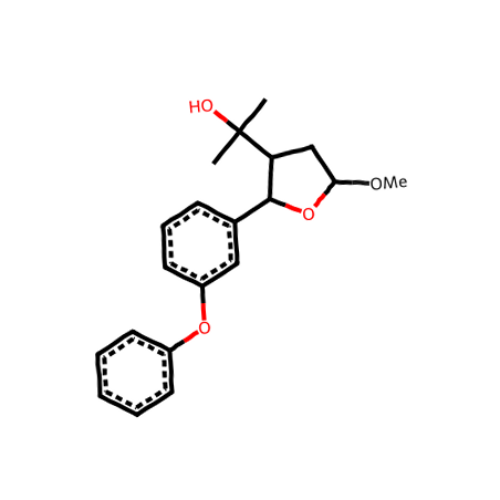 COC1CC(C(C)(C)O)C(c2cccc(Oc3ccccc3)c2)O1